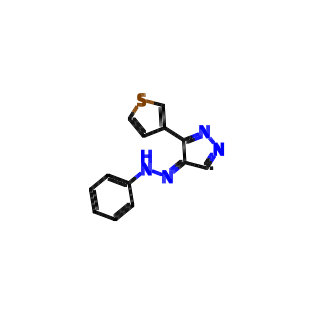 [C]1=NN=C(c2ccsc2)C1=NNc1ccccc1